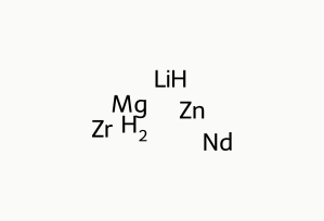 [LiH].[MgH2].[Nd].[Zn].[Zr]